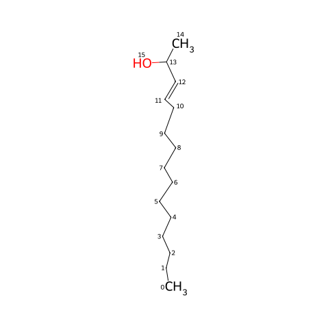 CCCCCCCCCCC/C=C/C(C)O